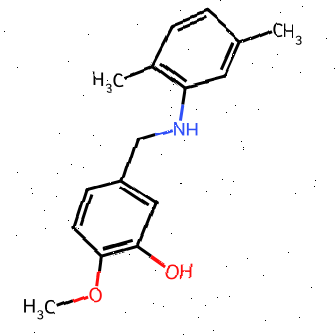 COc1ccc(CNc2cc(C)ccc2C)cc1O